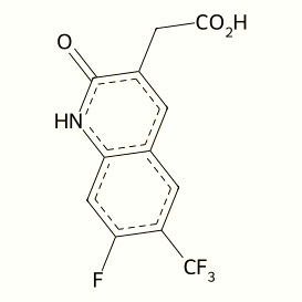 O=C(O)Cc1cc2cc(C(F)(F)F)c(F)cc2[nH]c1=O